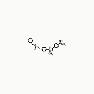 Cn1cc(-c2ccc(C(=N)N)cc2)nc1-c1ccc(CCC(=O)OCC2CCCCC2)cc1